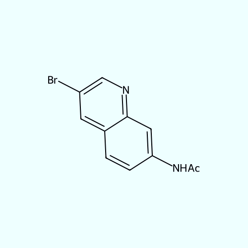 CC(=O)Nc1ccc2cc(Br)cnc2c1